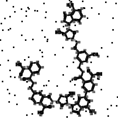 Cc1cc(CCC(=O)c2cc(-c3nc(N)c4ncn([C@@H]5O[C@H](COc6cc(CCC(=O)c7ccccc7C(=O)O)ccc6C(=O)O)C[C@H]5O)c4n3)ccc2C(=O)O)cc(OC[C@@H]2C[C@@H](O)[C@H](n3cnc4c(N)ncnc43)O2)c1